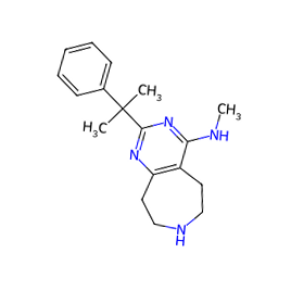 CNc1nc(C(C)(C)c2ccccc2)nc2c1CCNCC2